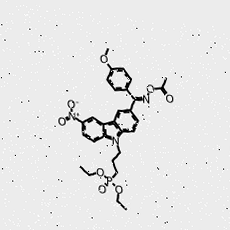 CCOP(=O)(CCCn1c2ccc(/C(=N/OC(C)=O)c3ccc(OC)cc3)cc2c2cc([N+](=O)[O-])ccc21)OCC